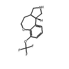 FC(F)(F)Oc1cccc2c1OCCC1CNC[C@H]21